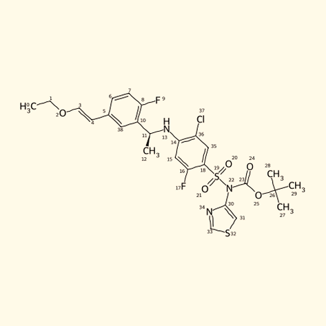 CCO/C=C/c1ccc(F)c([C@H](C)Nc2cc(F)c(S(=O)(=O)N(C(=O)OC(C)(C)C)c3cscn3)cc2Cl)c1